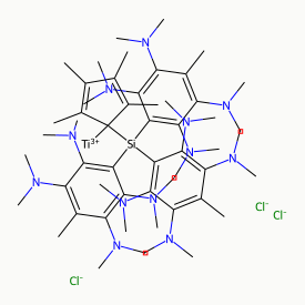 CC1=C(C)[C]([Ti+3])([Si](c2c(N(C)C)c(N(C)C)c(C)c(N(C)C)c2N(C)C)(c2c(N(C)C)c(N(C)C)c(C)c(N(C)C)c2N(C)C)c2c(N(C)C)c(N(C)C)c(C)c(N(C)C)c2N(C)C)C(C)=C1C.[Cl-].[Cl-].[Cl-]